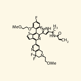 C=CC(=O)N[C@H](C)c1cc(-c2nc(-c3cnc4c(c3)CN(CCOC)CC4(F)F)c3ccsc3c2-c2c(F)cc(F)cc2OCCOC)n[nH]1